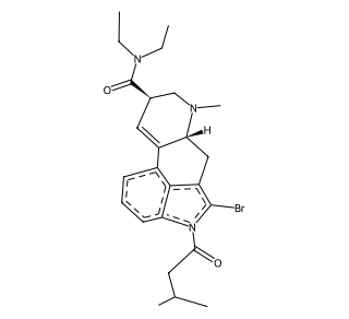 CCN(CC)C(=O)[C@@H]1C=C2c3cccc4c3c(c(Br)n4C(=O)CC(C)C)C[C@H]2N(C)C1